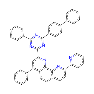 c1ccc(-c2ccc(-c3nc(-c4ccccc4)nc(-c4cc(-c5ccccc5)c5ccc6ccc(-c7ccccn7)nc6c5n4)n3)cc2)cc1